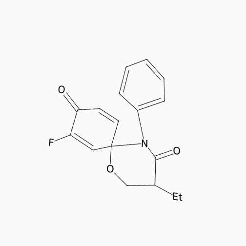 CCC1COC2(C=CC(=O)C(F)=C2)N(c2ccccc2)C1=O